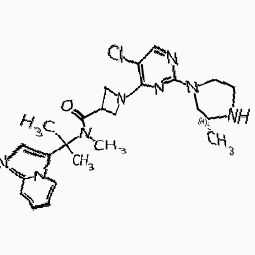 C[C@@H]1CN(c2ncc(Cl)c(N3CC(C(=O)N(C)C(C)(C)c4cnc5ccccn45)C3)n2)CCN1